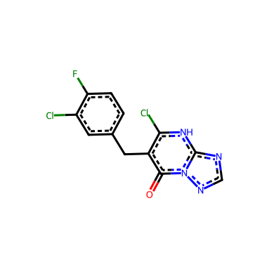 O=c1c(Cc2ccc(F)c(Cl)c2)c(Cl)[nH]c2ncnn12